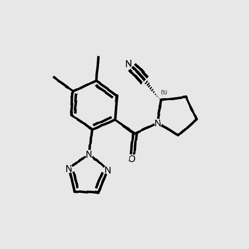 Cc1cc(C(=O)N2CCC[C@H]2C#N)c(-n2nccn2)cc1C